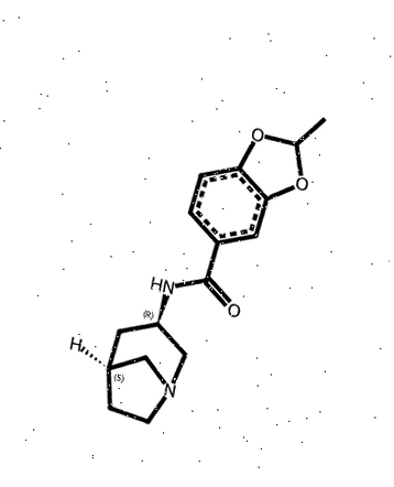 CC1Oc2ccc(C(=O)N[C@@H]3C[C@@H]4CCN(C4)C3)cc2O1